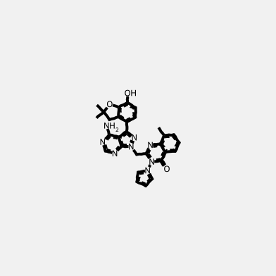 Cc1cccc2c(=O)n(-n3cccc3)c(Cn3nc(-c4ccc(O)c5c4CC(C)(C)O5)c4c(N)ncnc43)nc12